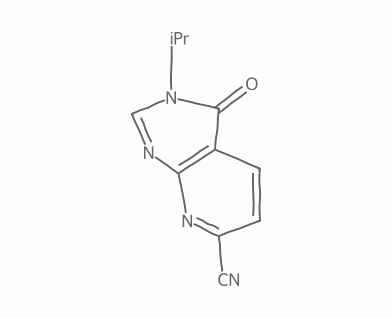 CC(C)n1cnc2nc(C#N)ccc2c1=O